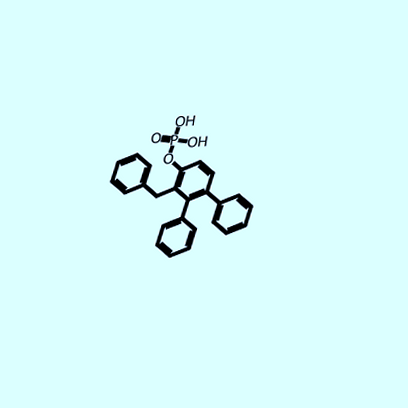 O=P(O)(O)Oc1ccc(-c2ccccc2)c(-c2ccccc2)c1Cc1ccccc1